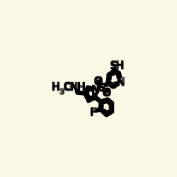 CNCc1cc(-c2ccccc2F)n(S(=O)(=O)c2cncc(S)c2)c1